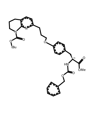 COC(=O)[C@H](Cc1ccc(OCCCc2ccc3c(n2)N(C(=O)OC(C)(C)C)CCC3)cc1)NC(=O)OCc1ccccc1